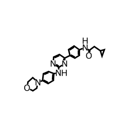 O=C(CC1CC1)Nc1ccc(-c2ccnc(Nc3ccc(N4CCOCC4)cc3)n2)cc1